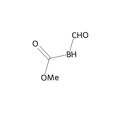 COC(=O)BC=O